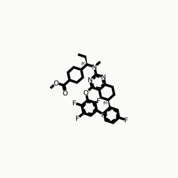 CC[C@H](C1CCC(C(=O)OC)CC1)N(C)c1nc2c(c(Oc3c(F)c(F)cc(F)c3F)n1)C[C@H](c1cccc(F)c1)CC2